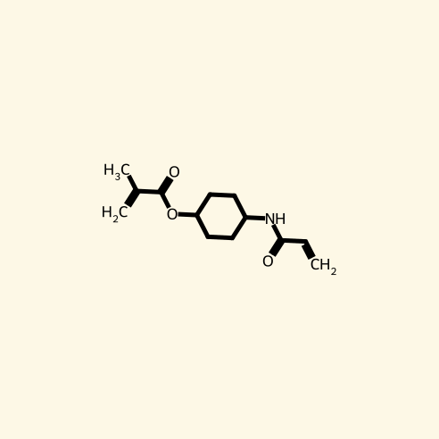 C=CC(=O)NC1CCC(OC(=O)C(=C)C)CC1